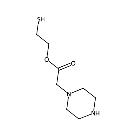 O=C(CN1CCNCC1)OCCS